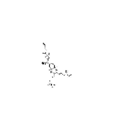 C=CCCC(=C)C1(F)CN(C(O)C2=CC3(C)N=C(CCCCC(=O)O)C(/C=C/CC(Cl)C=C)=NC3(C)C=C2)C1